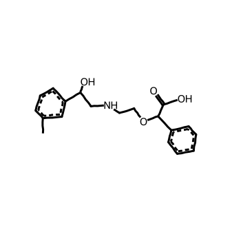 Cc1cccc(C(O)CNCCOC(C(=O)O)c2ccccc2)c1